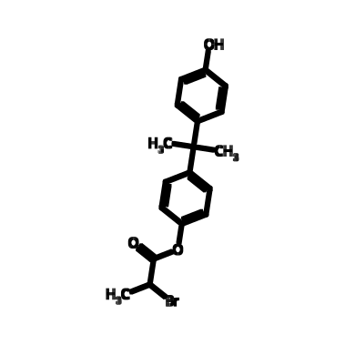 CC(Br)C(=O)Oc1ccc(C(C)(C)c2ccc(O)cc2)cc1